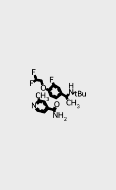 CC(NC(C)(C)C)c1ccc(OCC(F)F)c(F)c1.Cc1cc(C(N)=O)ccn1